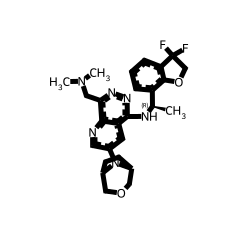 C[C@@H](Nc1nnc(CN(C)C)c2ncc(N3C4CCC3COC4)cc12)c1cccc2c1OCC2(F)F